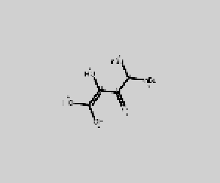 CCCCC(CCCC)C(=O)C(O)=C(O)O